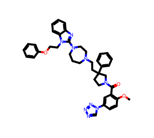 COc1ccc(-n2cnnn2)cc1C(=O)N1CCC(CCN2CCCN(c3nc4ccccc4n3CCOc3ccccc3)CC2)(c2ccccc2)C1